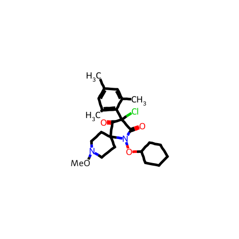 CON1CCC2(CC1)C(=O)C(Cl)(c1c(C)cc(C)cc1C)C(=O)N2OC1CCCCC1